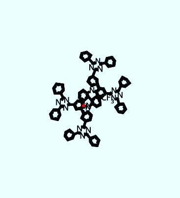 N#Cc1cccc(-n2c3ccc(-c4nc(-c5ccccc5)nc(-c5ccccc5)n4)cc3c3cc(-c4nc(-c5ccccc5)nc(-c5ccccc5)n4)ccc32)c1-c1cc(C(F)(F)F)ccc1-n1c2ccc(-c3nc(-c4ccccc4)nc(-c4ccccc4)n3)cc2c2cc(-c3nc(-c4ccccc4)nc(-c4ccccc4)n3)ccc21